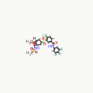 C[C@H]1CC2C[C@@H](S(=O)(=O)c3cc(C(=O)Nc4cc(F)c(F)c(F)c4)ccc3Cl)C[C@H]1[C@]2(O)CNS(C)(=O)=O